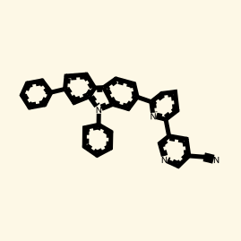 N#Cc1cncc(-c2cccc(-c3ccc4c5ccc(-c6ccccc6)cc5n(-c5ccccc5)c4c3)n2)c1